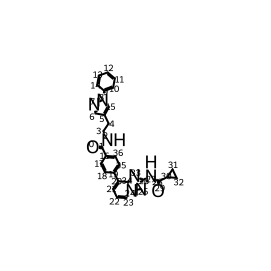 O=C(NCCc1cnn(-c2ccccc2)c1)c1ccc(-c2cccn3nc(NC(=O)C4CC4)nc23)cc1